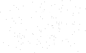 Cc1cc2c(N)ncnc2n1CC(=O)N1[C@@H]2C[C@@H]2C[C@H]1C(=O)Nc1cccc(Br)n1